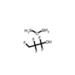 OC(F)(F)C(F)(F)CF.[SiH3]O[SiH3]